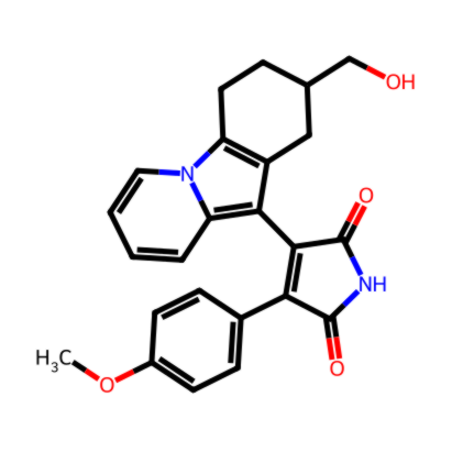 COc1ccc(C2=C(c3c4c(n5ccccc35)CCC(CO)C4)C(=O)NC2=O)cc1